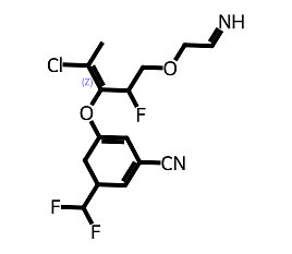 C/C(Cl)=C(/OC1=CC(C#N)=CC(C(F)F)C1)C(F)COCC=N